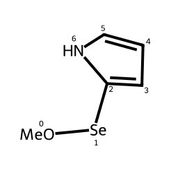 CO[Se]c1ccc[nH]1